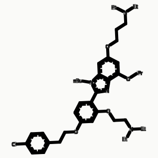 CCCCn1c(-c2ccc(OCCc3ccc(Cl)cc3)cc2OCCN(CC)CC)nc2c(OC(C)C)cc(OCCCN(CC)CC)cc21